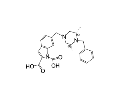 C[C@@H]1CN(Cc2ccc3cc(C(=O)O)n(C(=O)O)c3c2)C[C@H](C)N1Cc1ccccc1